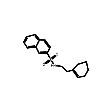 O=S(=O)(NCCC1=CCCCC1)c1ccc2ccccc2c1